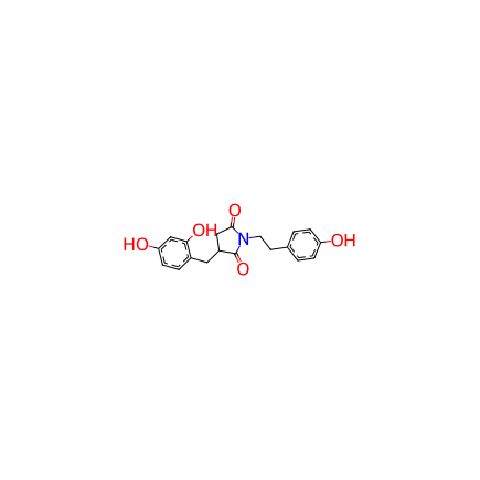 O=C1CC(Cc2ccc(O)cc2O)C(=O)N1CCc1ccc(O)cc1